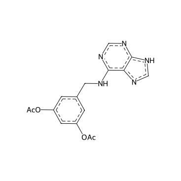 CC(=O)Oc1cc(CNc2ncnc3[nH]cnc23)cc(OC(C)=O)c1